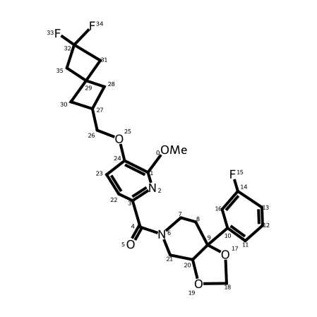 COc1nc(C(=O)N2CCC3(c4cccc(F)c4)OCOC3C2)ccc1OCC1CC2(C1)CC(F)(F)C2